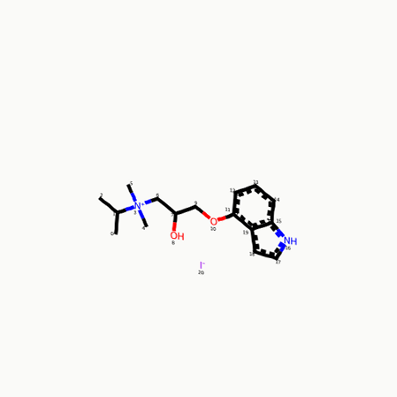 CC(C)[N+](C)(C)CC(O)COc1cccc2[nH]ccc12.[I-]